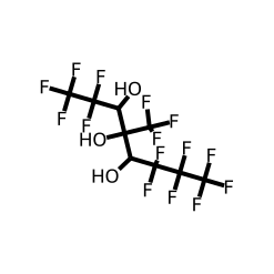 OC(C(F)(F)C(F)(F)F)C(O)(C(O)C(F)(F)C(F)(F)C(F)(F)F)C(F)(F)F